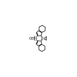 CCC1=CC2=C(CCCC2)[CH]1[Zr+2]1([CH]2C(CC)=CC3=C2CCCC3)[CH2][CH2]1.[Cl-].[Cl-]